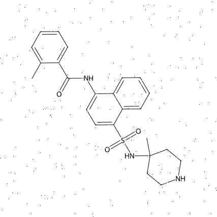 Cc1ccccc1C(=O)Nc1ccc(S(=O)(=O)NC2(C)CCNCC2)c2ccccc12